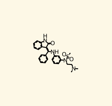 CN(C)CCN(c1cccc(N/C(=C2\C(=O)Nc3ccccc32)c2ccccc2)c1)S(C)(=O)=O